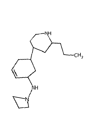 CCCC1CC(C2CC=CC(NN3CCC3)C2)CCN1